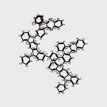 c1ccc(-c2cc(-n3c4ccccc4c4cc5c(cc43)c3cc(-c4ccc(-c6cc(-c7nc8ccccc8nc7-c7ccccc7)ccc6-n6c7ccccc7c7cc8c(cc76)c6ccccc6n8-c6ccccc6)cc4)ccc3n5-c3ccccc3)ccc2-c2nc3ccccc3nc2-c2ccccc2)cc1